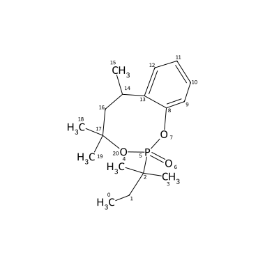 CCC(C)(C)P1(=O)Oc2ccccc2C(C)CC(C)(C)O1